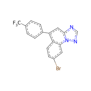 FC(F)(F)c1ccc(-c2cc3ncnn3c3cc(Br)ccc23)cc1